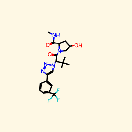 CNC(=O)[C@H]1CC(O)CN1C(=O)C(n1cc(-c2cccc(C(F)(F)F)c2)nn1)C(C)(C)C